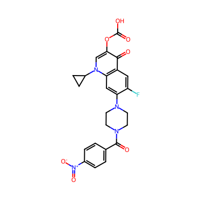 O=C(O)Oc1cn(C2CC2)c2cc(N3CCN(C(=O)c4ccc([N+](=O)[O-])cc4)CC3)c(F)cc2c1=O